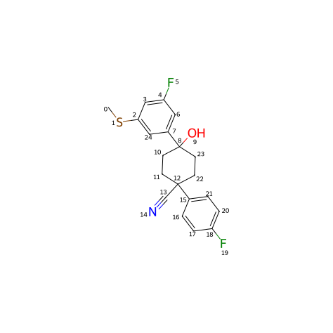 CSc1cc(F)cc(C2(O)CCC(C#N)(c3ccc(F)cc3)CC2)c1